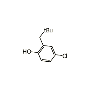 CC(C)(C)[CH]c1cc(Cl)ccc1O